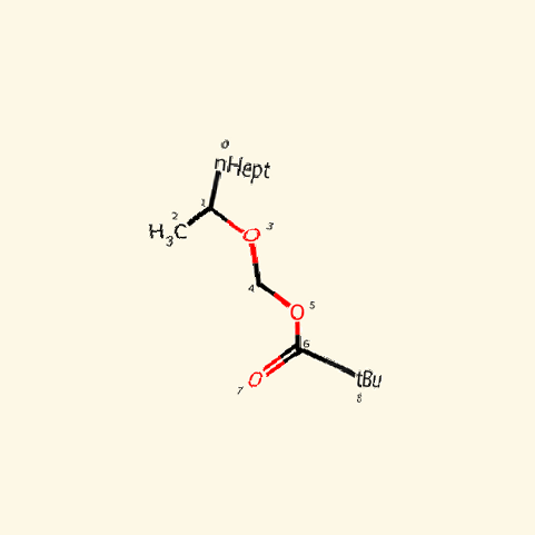 CCCCCCCC(C)OCOC(=O)C(C)(C)C